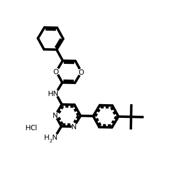 CC(C)(C)c1ccc(-c2cc(NC3=COC=C(C4=CC=CCC4)O3)nc(N)n2)cc1.Cl